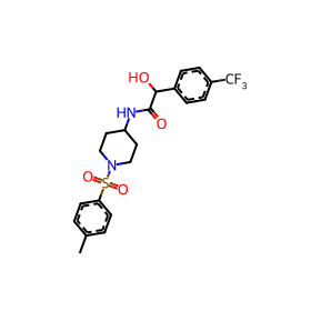 Cc1ccc(S(=O)(=O)N2CCC(NC(=O)C(O)c3ccc(C(F)(F)F)cc3)CC2)cc1